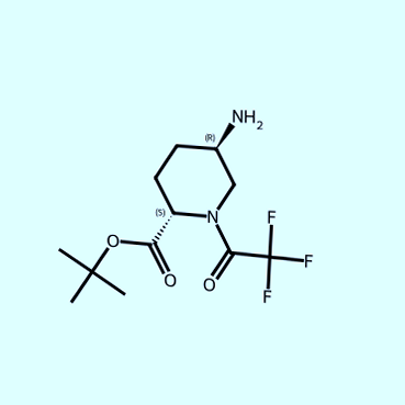 CC(C)(C)OC(=O)[C@@H]1CC[C@@H](N)CN1C(=O)C(F)(F)F